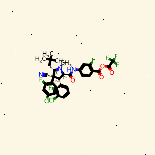 CN1[C@@H](CC(C)(C)C)[C@](C#N)(c2ccc(Cl)cc2F)[C@@H](c2cccc(Cl)c2F)[C@@H]1C(=O)Nc1ccc(C(=O)OC(=O)C(F)(F)F)c(F)c1